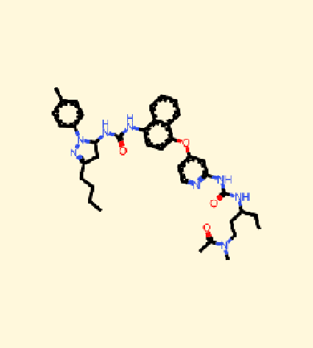 CCCCC1=NN(c2ccc(C)cc2)C(NC(=O)Nc2ccc(Oc3ccnc(NC(=O)NC(CC)CCN(C)C(C)=O)c3)c3ccccc23)C1